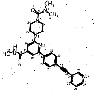 CN(C)C(=O)N1CCN(c2cc(C(=O)NO)cc(-c3ccc(C#Cc4cccnc4)cc3)n2)CC1